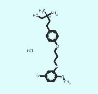 COc1ccc(Br)cc1OCCCOc1ccc(CC[C@@](C)(N)CO)cc1.Cl